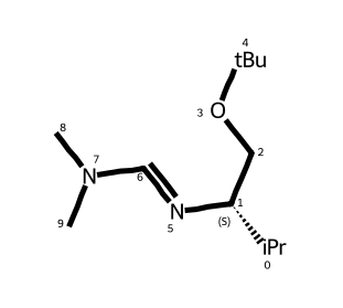 CC(C)[C@@H](COC(C)(C)C)N=CN(C)C